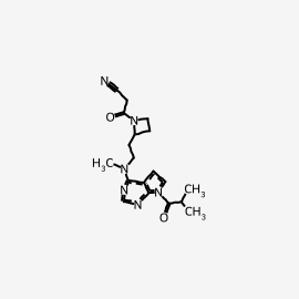 CC(C)C(=O)n1ccc2c(N(C)CCC3CCN3C(=O)CC#N)ncnc21